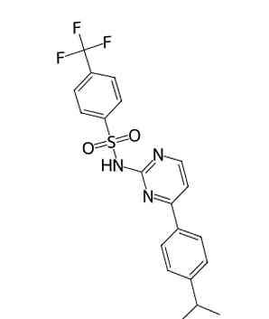 CC(C)c1ccc(-c2ccnc(NS(=O)(=O)c3ccc(C(F)(F)F)cc3)n2)cc1